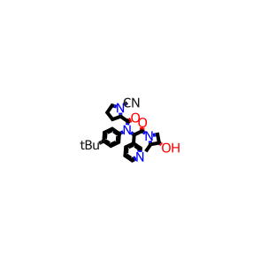 CC1C(O)CN1C(=O)C(c1cccnc1)N(C(=O)C1CCCN1C#N)c1ccc(C(C)(C)C)cc1